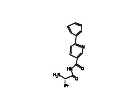 CC(C)[C@H](N)C(=O)NC(=O)c1ccc(-c2ccccc2)nc1